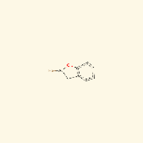 S[As]1Cc2ccccc2O1